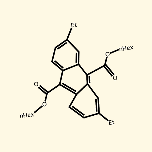 CCCCCCOC(=O)c1c2ccc(CC)cc2c(C(=O)OCCCCCC)c2cc(CC)ccc12